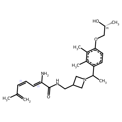 C=C(C)/C=C\C=C(/N)C(=O)NCC1CN(C(C)c2ccc(OC[C@@H](C)O)c(C)c2C)C1